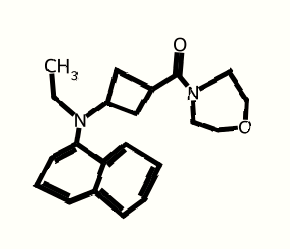 CCN(c1cccc2ccccc12)C1CC(C(=O)N2CCOCC2)C1